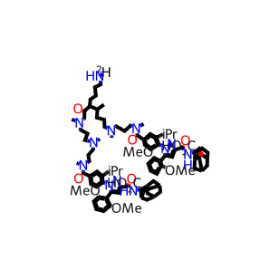 [2H]NCCCCC(C(=O)CN(C)CCCN(C)CCCN(C)C(=O)c1ccc(-n2nc(C(=O)NC3(C(=O)O)C4CC5CC(C4)CC3C5)cc2-c2c(OC)cccc2OC)c(C(C)C)c1)C(C)CCCN(C)CCCN(C)C(=O)c1ccc(-n2nc(C(=O)NC3(C(=O)O)C4CC5CC(C4)CC3C5)cc2-c2c(OC)cccc2OC)c(C(C)C)c1